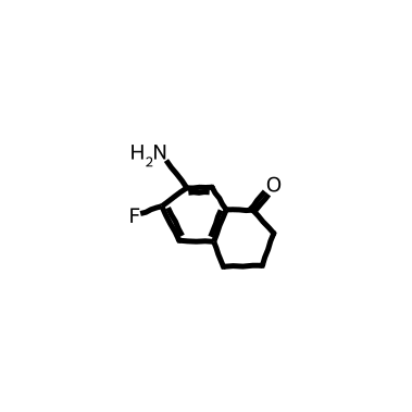 Nc1cc2c(cc1F)CCCC2=O